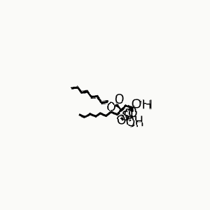 CCCCCCCCOC(=O)C(CCCCCCCC)(CC(=O)O)S(=O)(=O)O